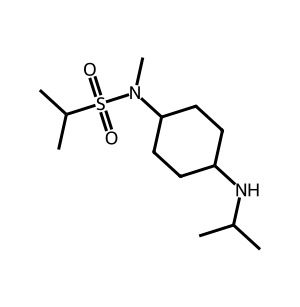 CC(C)NC1CCC(N(C)S(=O)(=O)C(C)C)CC1